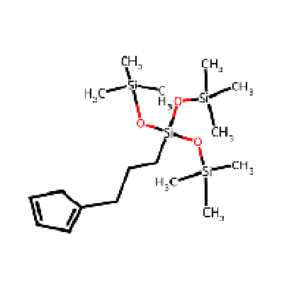 C[Si](C)(C)O[Si](CCCC1=CC=CC1)(O[Si](C)(C)C)O[Si](C)(C)C